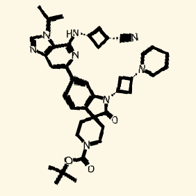 CC(C)n1cnc2cc(-c3ccc4c(c3)N([C@H]3C[C@@H](N5CCCCC5)C3)C(=O)C43CCN(C(=O)OC(C)(C)C)CC3)nc(N[C@H]3C[C@@H](C#N)C3)c21